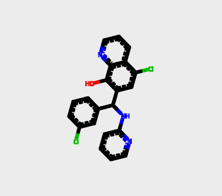 Oc1c(C(Nc2ccccn2)c2cccc(Cl)c2)cc(Cl)c2cccnc12